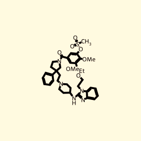 CCOCCn1c(NC2CCN(CCC3(c4ccccc4)CCN(C(=O)c4cc(OC)c(OC)c(OS(C)(=O)=O)c4)C3)CC2)nc2ccccc21